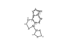 c1cc2c3c(cnc2[nH]1)N(C1CCCC1)CCO3